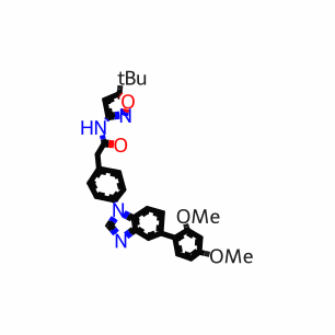 COc1ccc(-c2ccc3c(c2)ncn3-c2ccc(CC(=O)Nc3cc(C(C)(C)C)on3)cc2)c(OC)c1